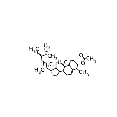 C/C=C(/CC[C@@H](C)[C@H]1CCC2C3CC=C4[C@H](C)[C@@H](OC(C)=O)CC[C@]4(C)C3CC[C@@]21C)C(C)C